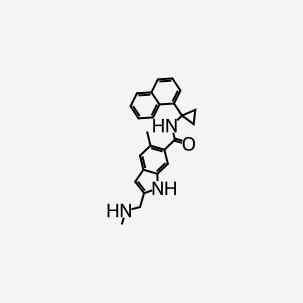 CNCc1cc2cc(C)c(C(=O)NC3(c4cccc5ccccc45)CC3)cc2[nH]1